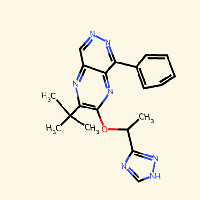 CC(Oc1nc2c(-c3ccccc3)nncc2nc1C(C)(C)C)c1nc[nH]n1